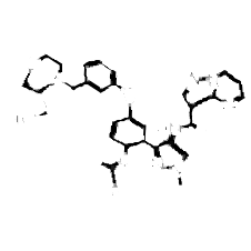 Cn1cc(NC(=O)c2cnn3cccnc23)c(-c2cc(Oc3cccc(CN4CCOC[C@H]4CO)c3)ccc2OC(F)F)n1